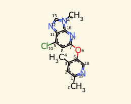 Cc1cc(C)c(Oc2cc(Cl)c3ncn(C)c3n2)cn1